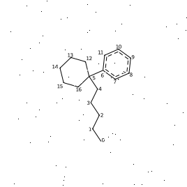 CCCCCC1(c2[c]cccc2)CCCCC1